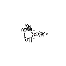 CO[C@]1(C)C[C@H](O[C@H]2[C@H](C)[C@H]3O[C@@H]4O[C@H](C)C[C@H](N(C)C)[C@]4(O)[C@@]3(O)C[C@@H](C)CN(C)C(=O)CNC(=O)[C@@H]2C)O[C@@H](C)[C@@H]1O